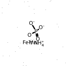 O=P([O-])([O-])[O-].[Fe+2].[Mn].[NH4+]